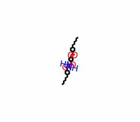 CCCCCCC1CCC(C(=O)NNC(=O)c2ccc(OC(=O)C3CCC(CCCCCC)CC3)cc2)CC1